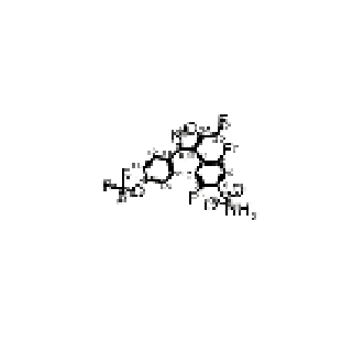 NS(=O)(=O)c1cc(F)c(-c2c(-c3ccc(OC(F)(F)F)cc3)noc2CF)cc1F